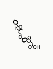 Cc1oc(-c2ccccc2)nc1CCOc1ccc2c(c1)OCC(CC(=O)O)C2